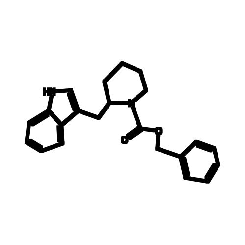 O=C(OCc1ccccc1)N1CCCCC1Cc1c[nH]c2ccccc12